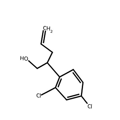 C=CCC(CO)c1ccc(Cl)cc1Cl